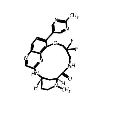 Cc1ncc(-c2ccc3ncc4nc3c2OCC(F)(F)CNC(=O)[C@@H]2C[C@H](CCN2C)N4)cn1